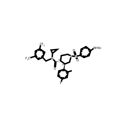 CC(=O)Nc1ccc(S(=O)(=O)N2CC[C@@H](C(=O)N(Cc3cc(C(F)(F)F)cc(C(F)(F)F)c3)C3CC3)[C@H](c3ccc(F)cc3C)C2)cc1